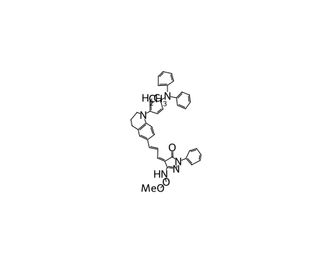 C=C(/C=C\C(=C/C)N1CCCc2cc(/C=C/C=C3\C(=O)N(c4ccccc4)N=C3NOOC)ccc21)N(c1ccccc1)c1ccccc1